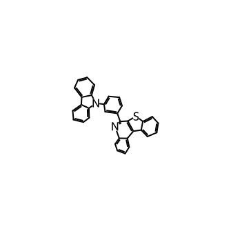 c1cc(-c2nc3ccccc3c3c2sc2ccccc23)cc(-n2c3ccccc3c3ccccc32)c1